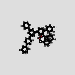 c1ccc(-c2cc(-c3ccc(-c4cccnc4)nc3)nc(-c3ccc4c(c3)C3(c5ccccc5Oc5ccccc53)c3ccccc3-c3ccccc3-4)n2)cc1